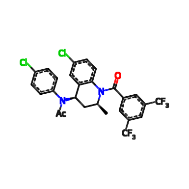 CC(=O)N(c1ccc(Cl)cc1)[C@@H]1C[C@H](C)N(C(=O)c2cc(C(F)(F)F)cc(C(F)(F)F)c2)c2ccc(Cl)cc21